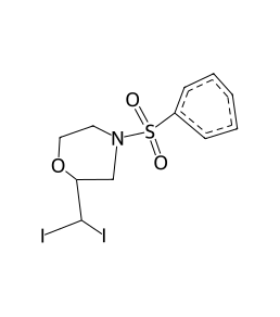 O=S(=O)(c1ccccc1)N1CCOC(C(I)I)C1